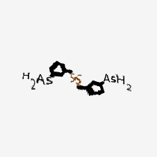 [AsH2]c1cccc(CSSCc2cccc([AsH2])c2)c1